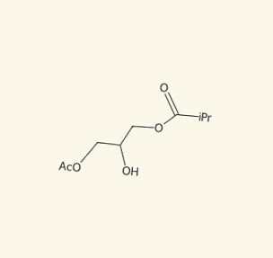 CC(=O)OCC(O)COC(=O)C(C)C